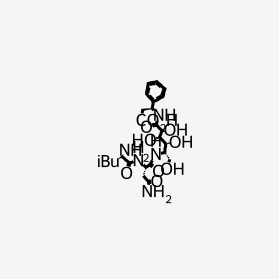 CC[C@H](C)[C@H](N)C(=O)N[C@@H](CC(N)=O)C(=O)N[C@@H](CO)[C@@H](O)[C@@H](O)[C@H](O)C(=O)N[C@@H](CC(=O)O)c1ccccc1